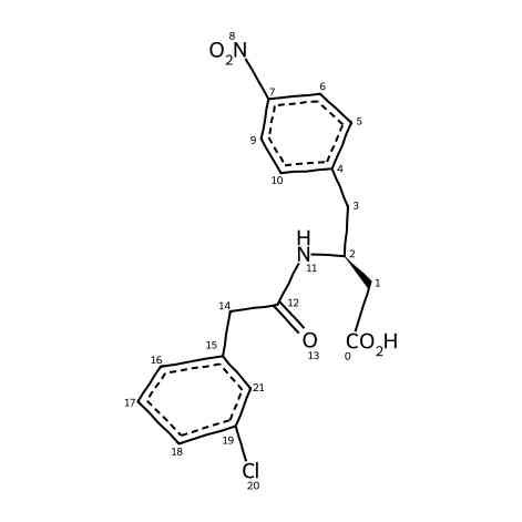 O=C(O)C[C@H](Cc1ccc([N+](=O)[O-])cc1)NC(=O)Cc1cccc(Cl)c1